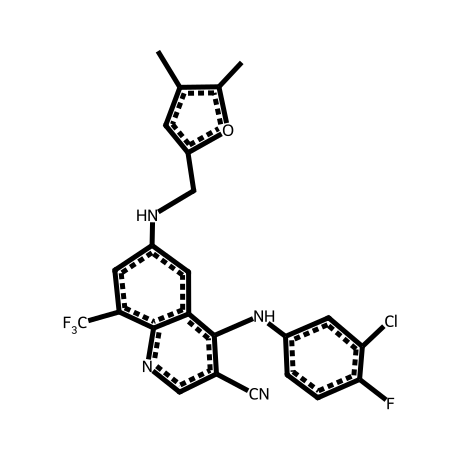 Cc1cc(CNc2cc(C(F)(F)F)c3ncc(C#N)c(Nc4ccc(F)c(Cl)c4)c3c2)oc1C